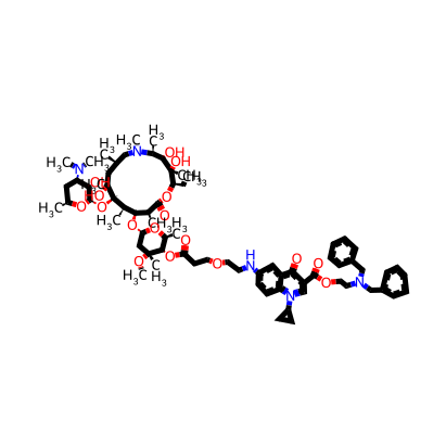 CC[C@H]1OC(=O)[C@H](C)[C@@H](O[C@H]2C[C@@](C)(OC)[C@@H](OC(=O)CCOCCNc3ccc4c(c3)c(=O)c(C(=O)OCCN(Cc3ccccc3)Cc3ccccc3)cn4C3CC3)[C@H](C)O2)[C@H](C)[C@@H](O[C@@H]2O[C@H](C)C[C@H](N(C)C)[C@H]2O)[C@](C)(O)C[C@@H](C)CN(C)[C@H](C)[C@@H](O)[C@]1(C)O